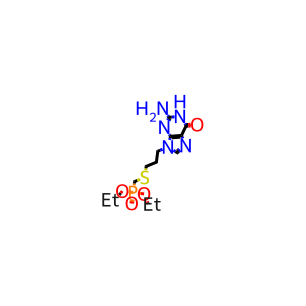 CCOP(=O)(CSCCCn1cnc2c(=O)[nH]c(N)nc21)OCC